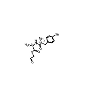 C[C@@H](NC(=O)[C@@H](N)Cc1ccc(O)cc1)C(=O)[N]CC=O